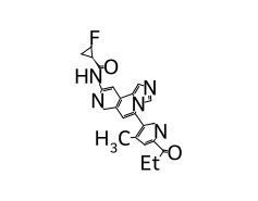 CCC(=O)c1cc(C)c(-c2cc3cnc(NC(=O)[C@H]4C[C@H]4F)cc3c3cncn23)cn1